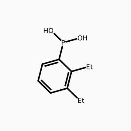 CCc1cccc(P(O)O)c1CC